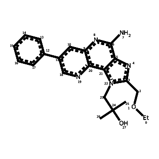 CCOCc1nc2c(N)nc3cc(-c4ccccc4)cnc3c2n1CC(C)(C)O